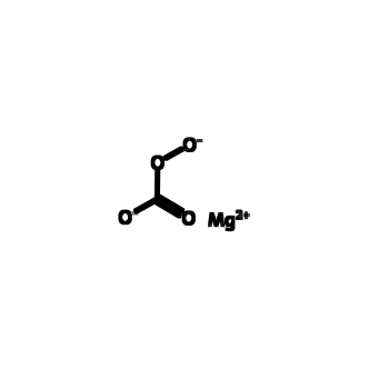 O=C([O-])O[O-].[Mg+2]